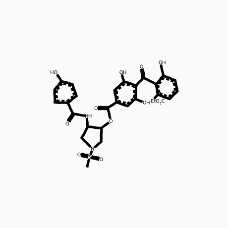 CCOC(=O)c1cccc(O)c1C(=O)c1c(O)cc(C(=O)OC2CN(S(C)(=O)=O)CC2NC(=O)c2ccc(O)cc2)cc1O